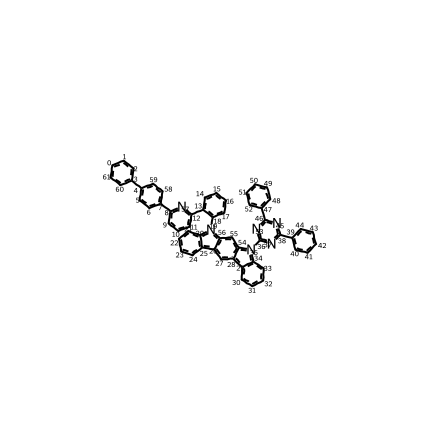 c1ccc(-c2ccc(-c3cccc(-c4ccccc4-n4c5ccccc5c5cc6c7ccccc7n(-c7nc(-c8ccccc8)nc(-c8ccccc8)n7)c6cc54)n3)cc2)cc1